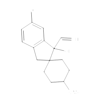 C=CC1(O)c2cc(Br)ccc2CC12CCC(OC)CC2